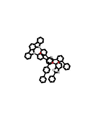 c1ccc(-c2ccc(-c3nc(-c4ccc(-n5c6ccccc6c6ccc7c8ccccc8n(-c8ccc(-c9ccc(-c%10cccc%11nc(-c%12ccccc%12)oc%10%11)cc9)cc8)c7c65)cc4)nc(-c4cccc(-c5ccccc5)c4)n3)cc2)cc1